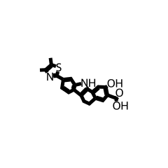 Cc1nc(-c2ccc3c4c([nH]c3c2)-c2cc(O)c(C(=O)O)cc2CC4)sc1C